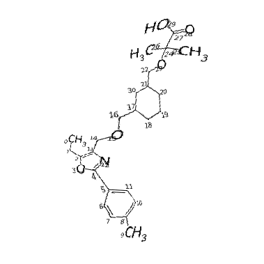 CCc1oc(-c2ccc(C)cc2)nc1COCC1CCCC(COC(C)(C)C(=O)O)C1